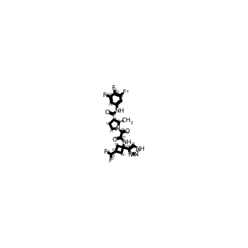 C[C@H]1[C@@H](C(=O)Nc2cc(F)c(F)c(F)c2)CCN1C(=O)C(=O)NC1(c2c[nH]nn2)CC(C(F)F)C1